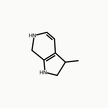 CC1CNC2=C1C=CNC2